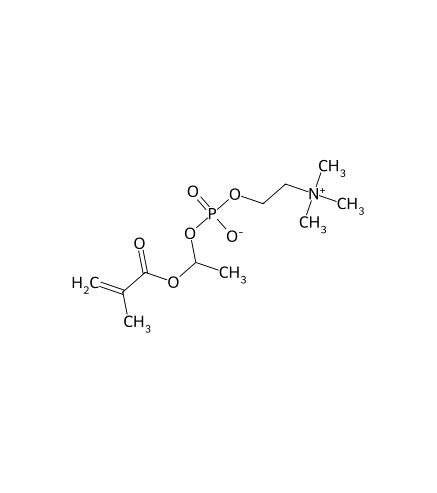 C=C(C)C(=O)OC(C)OP(=O)([O-])OCC[N+](C)(C)C